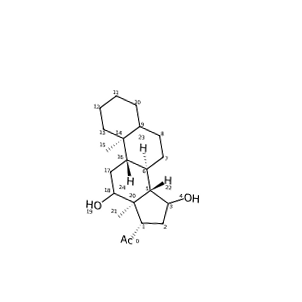 CC(=O)[C@H]1CC(O)[C@H]2[C@@H]3CCC4CCCC[C@]4(C)[C@H]3CC(O)[C@]12C